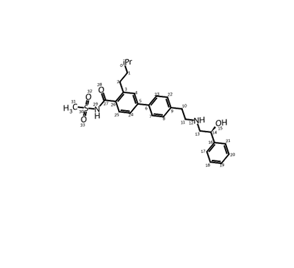 CC(C)CCc1cc(-c2ccc(CCNC[C@@H](O)c3ccccc3)cc2)ccc1C(=O)NS(C)(=O)=O